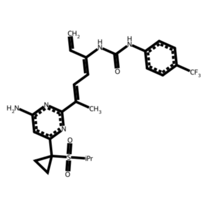 C=C/C(=C\C=C(/C)c1nc(N)cc(C2(S(=O)(=O)C(C)C)CC2)n1)NC(=O)Nc1ccc(C(F)(F)F)cc1